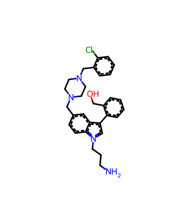 NCCCn1cc(-c2ccccc2CO)c2cc(CN3CCN(Cc4ccccc4Cl)CC3)ccc21